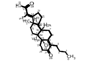 CCCCC1=C2CC[C@@H]3[C@H](CC[C@]4(C)C(=C(F)C(=O)O)CC[C@@H]34)[C@@]2(C)CCC1=O